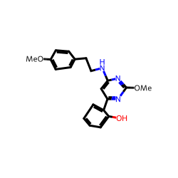 COc1ccc(CCNc2cc(-c3ccccc3O)nc(OC)n2)cc1